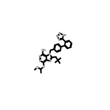 COC(C)Oc1nnc(O)c2c1nc(CC(C)(C)C)n2Cc1ccc(-c2ccccc2-c2nnn[nH]2)cc1